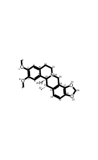 COc1cc2c(cc1OC)[C@@H]1[C@@H](C)c3ccc4c(c3CN1CC2)OCO4